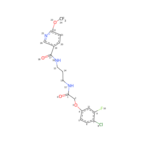 O=C(COc1ccc(Cl)c(F)c1)NCCCNC(=O)c1ccc(OC(F)(F)F)nc1